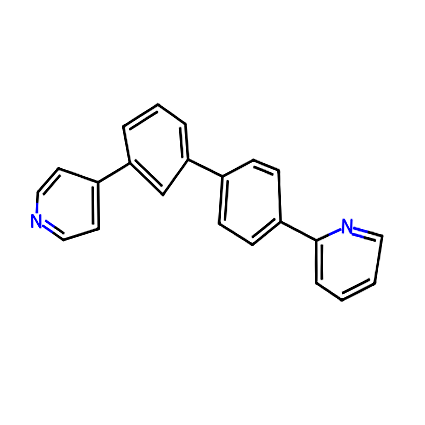 c1ccc(-c2ccc(-c3cccc(-c4ccncc4)c3)cc2)nc1